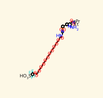 CCCN(OCC)C(=O)C1=Cc2ccc(-c3cccc(S(=O)(=O)N4CC(CNC(=O)CCOCCOCCOCCOCCOCCOCCOCCOCCOCCOCCC(=O)Oc5c(F)c(F)c(S(=O)(=O)O)c(F)c5F)C4)c3)cc2N=C(N)C1